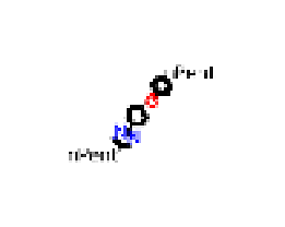 CCCCCc1ccc(OC[C@H]2CC[C@H](c3ncc(CCCCC)cn3)CC2)cc1